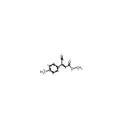 COC(=O)/C=C(\C#N)c1ccc(C)cc1